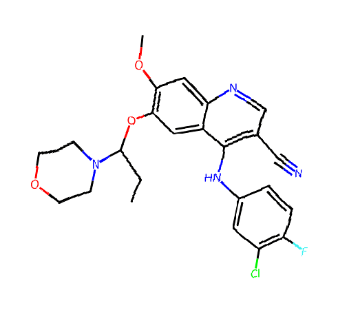 CCC(Oc1cc2c(Nc3ccc(F)c(Cl)c3)c(C#N)cnc2cc1OC)N1CCOCC1